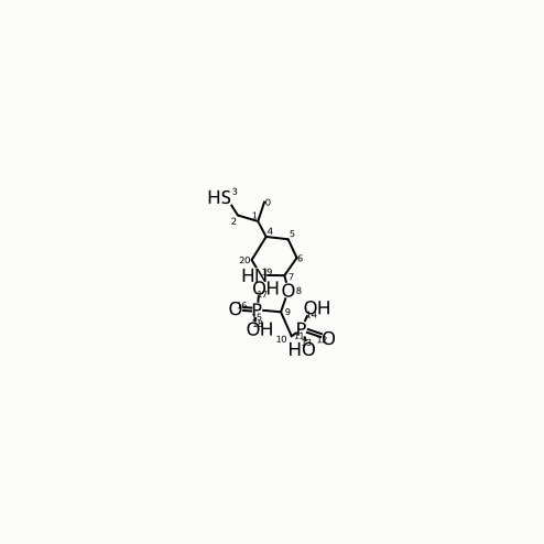 CC(CS)C1CCC(OC(CP(=O)(O)O)P(=O)(O)O)NC1